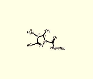 CC(C)C1=NN(C(=O)NC(C)(C)C)C(O)N1N